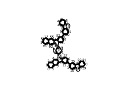 c1ccc2cc3c(cc2c1)c1cc(-c2ccc4oc5ccccc5c4c2)ccc1n3-c1cnc(-n2c3ccc(-c4ccc5oc6ccccc6c5c4)cc3c3cc4ccccc4cc32)nc1